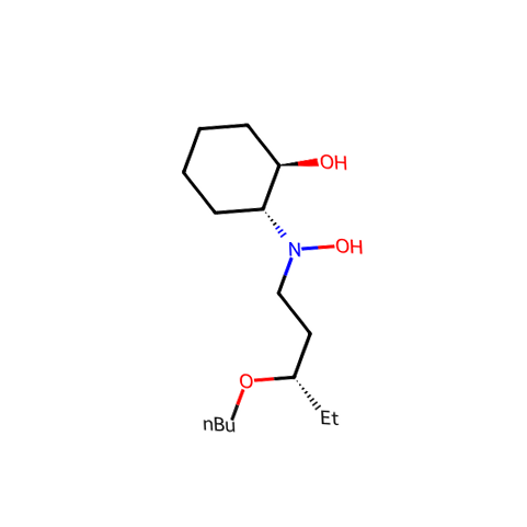 CCCCO[C@@H](CC)CCN(O)[C@@H]1CCCC[C@H]1O